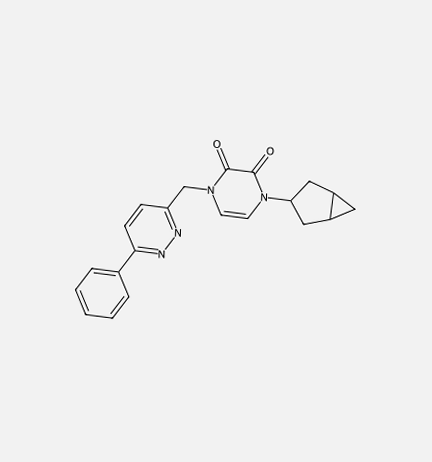 O=c1c(=O)n(C2CC3CC3C2)ccn1Cc1ccc(-c2ccccc2)nn1